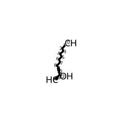 C#CCCCCCCCC#CC(O)C#C